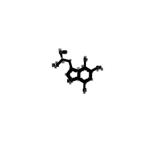 Cc1cc(Cl)c2[nH]cc(C[C@H](N)[C]=O)c2c1Br